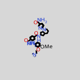 COc1ccc(Nc2cc(C(=O)NC3CC4CCCN(c5ccc(C(N)=O)cn5)C4C3)ccc2C(N)=O)cc1OCCN(C)C